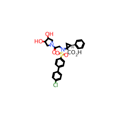 O=C(CN([C@]1(C(=O)O)C[C@H]1c1ccccc1)S(=O)(=O)c1ccc(-c2ccc(Cl)cc2)cc1)N1CC(O)C(O)C1